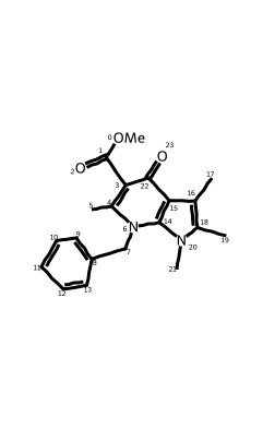 COC(=O)c1c(C)n(Cc2ccccc2)c2c(c(C)c(C)n2C)c1=O